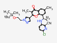 Cc1cc([C@@H](C)Nc2ccc(Cl)nc2C#N)c2oc(-c3cnn(CCO[Si](C)(C)C(C)(C)C)c3)c(C)c(=O)c2c1